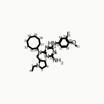 CCN1CCCC1CN(c1nc(N)nc(Nc2ccc(OC)c(F)c2)n1)C1CCCCCCC1